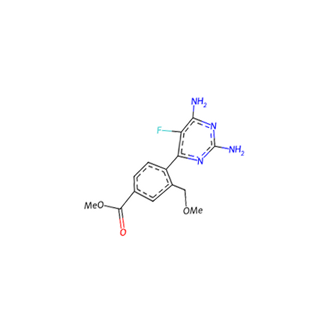 COCc1cc(C(=O)OC)ccc1-c1nc(N)nc(N)c1F